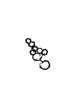 C1=C\C(c2ccccccccc2)=C/PC2(c3cc(-c4ccc5ccccc5c4)ccc3C/1)c1ccccc1Cc1ccccc12